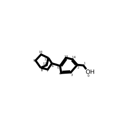 OCc1ccc(C2CC3CCC2C3)cc1